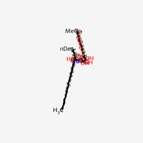 CC#CC#CC#CC#CC#CC#CC#CC#CC#CC#CC#CC#CC(=O)N[C@@H](CO[C@H]1OC(CSSCCOCCOCCOCCC(=O)OC)[C@H](O)[C@H](O)C1O)[C@H](O)[C@H](O)CCCCCCCCCCCCCC